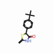 C=C1NC(=O)C(c2ccc(C(C)(C)C)cc2)S1